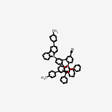 Cc1ccc(-c2ccc3c(c2)c2ccccc2n3-c2ccc(-c3nc(-c4ccccc4)nc(-c4ccccc4)n3)c(-c3cc(C#N)ccc3-n3c4ccccc4c4cc(-c5ccc(C)cc5)ccc43)c2)cc1